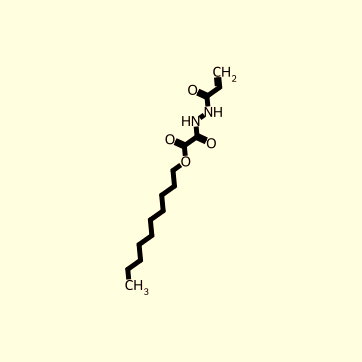 C=CC(=O)NNC(=O)C(=O)OCCCCCCCCCC